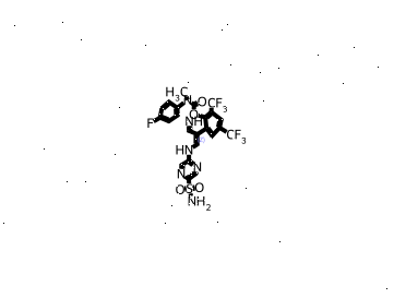 CN(C(=O)Oc1c(/C(C=N)=C/Nc2cnc(S(N)(=O)=O)cn2)cc(C(F)(F)F)cc1C(F)(F)F)c1ccc(F)cc1